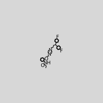 CCC(=O)Nc1ccccc1OCCN1CCN(CCCC(c2ccc(F)cc2)c2ccc(F)cc2)CC1